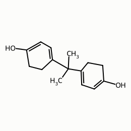 CC(C)(C1=CC=C(O)CC1)C1=CC=C(O)CC1